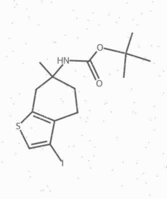 CC1(NC(=O)OC(C)(C)C)CCc2c(I)csc2C1